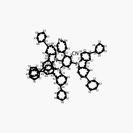 N#Cc1c(-n2c3ccc(-c4ccccc4)cc3c3cc(-c4ccccc4)ccc32)cc(-n2c3ccc(-c4ccccc4)cc3c3cc(-c4ccccc4)ccc32)c(-n2c3ccc(-c4ccccc4)cc3c3cc(-c4ccccc4)ccc32)c1-c1ccncc1